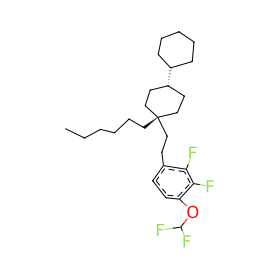 CCCCCC[C@]1(CCc2ccc(OC(F)F)c(F)c2F)CC[C@@H](C2CCCCC2)CC1